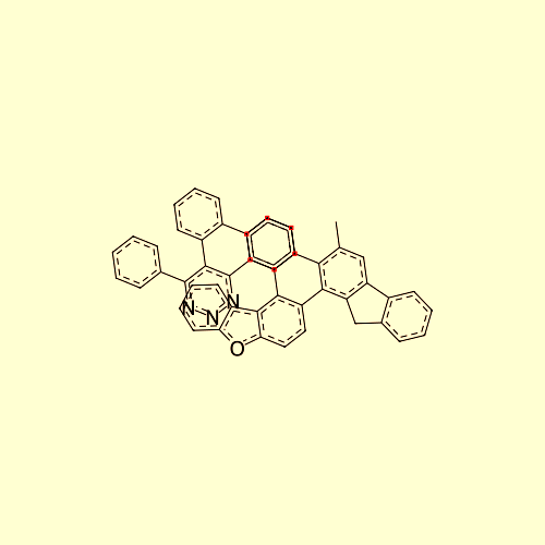 Cc1cc2c(c(-c3ccc4oc5ccccc5c4c3-c3ccccc3-c3nnnc(-c4ccccc4)c3-c3ccccc3-c3ccccc3)c1C)Cc1ccccc1-2